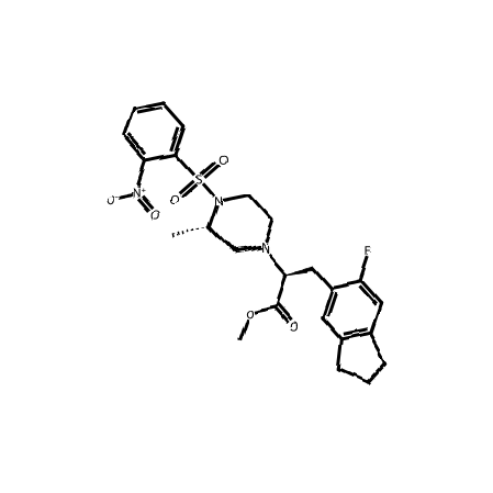 COC(=O)[C@H](Cc1cc2c(cc1F)CCC2)N1CCN(S(=O)(=O)c2ccccc2[N+](=O)[O-])[C@@H](C)C1